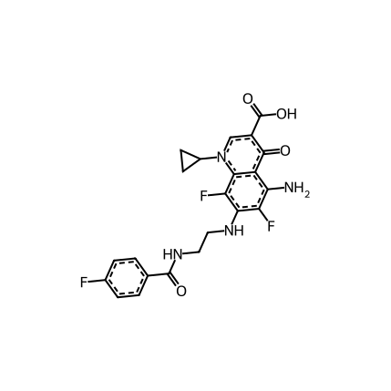 Nc1c(F)c(NCCNC(=O)c2ccc(F)cc2)c(F)c2c1c(=O)c(C(=O)O)cn2C1CC1